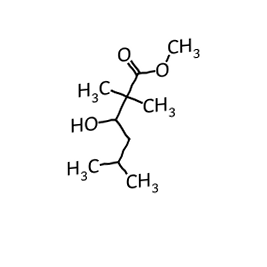 COC(=O)C(C)(C)C(O)CC(C)C